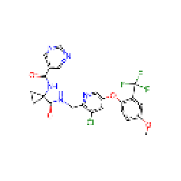 COc1ccc(Oc2cnc(CNC(=O)C3(NC(=O)c4cncnc4)CC3)c(Cl)c2)c(C(F)(F)F)c1